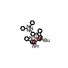 CCCc1ccc2c(c1)c1cc(C(C)CC)ccc1n2-c1c(-n2c3ccccc3c3ccccc32)cc(-c2nc(-c3ccccc3)nc(-c3ccccc3)n2)cc1-n1c2ccccc2c2ccccc21